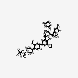 CCc1cc(-c2cc(Cl)c3c(c2)C(=O)N(C(C(=O)Nc2nccs2)c2ncn4c2C[C@@H](F)C4)C3)ccc1C1CCN(C(=O)OC(C)(C)C)CC1